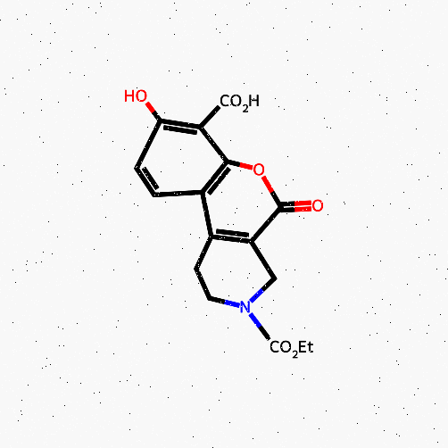 CCOC(=O)N1CCc2c(c(=O)oc3c(C(=O)O)c(O)ccc23)C1